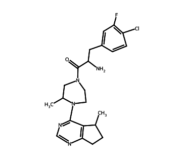 CC1CCc2ncnc(N3CCN(C(=O)C(N)Cc4ccc(Cl)c(F)c4)CC3C)c21